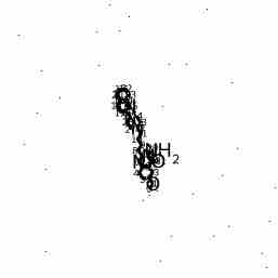 COC1CCc2nc(CCCCN3CCN(c4ccc5ccccc5n4)CC3)n(N)c(=O)c2C1